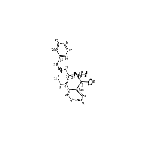 O=c1[nH]c2c(c3ccccc13)CCN(Cc1ccccc1)C2